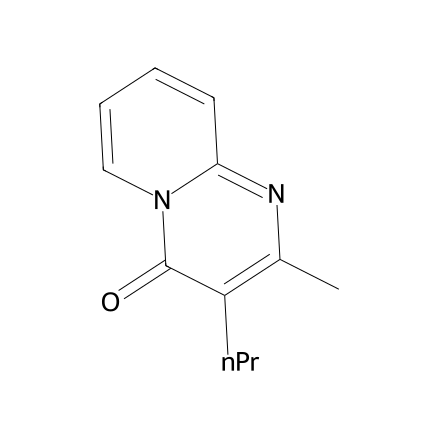 CCCc1c(C)nc2ccccn2c1=O